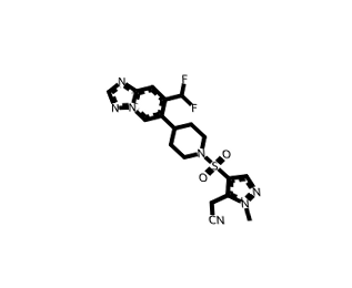 Cn1ncc(S(=O)(=O)N2CCC(c3cn4ncnc4cc3C(F)F)CC2)c1CC#N